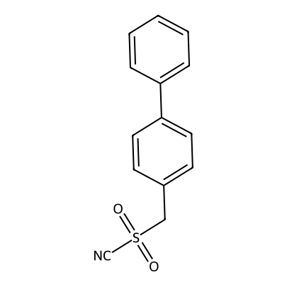 N#CS(=O)(=O)Cc1ccc(-c2ccccc2)cc1